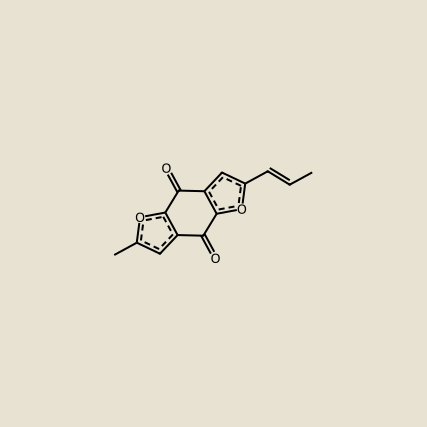 C/C=C/c1cc2c(o1)C(=O)c1cc(C)oc1C2=O